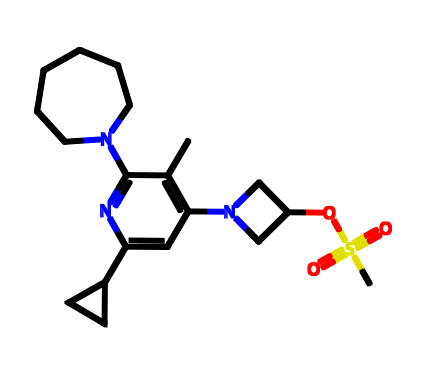 Cc1c(N2CC(OS(C)(=O)=O)C2)cc(C2CC2)nc1N1CCCCCC1